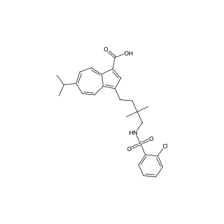 CC(C)c1ccc2c(CCC(C)(C)CNS(=O)(=O)c3ccccc3Cl)cc(C(=O)O)c-2cc1